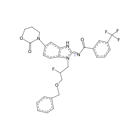 O=C(/N=c1\[nH]c2cc(N3CCCOC3=O)ccc2n1CC(F)COCc1ccccc1)c1cccc(C(F)(F)F)c1